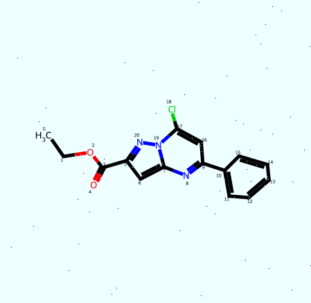 CCOC(=O)c1cc2nc(-c3ccccc3)cc(Cl)n2n1